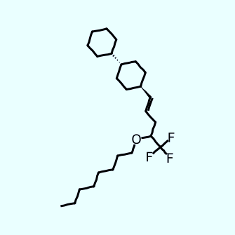 CCCCCCCCOC(CC=C[C@H]1CC[C@H](C2CCCCC2)CC1)C(F)(F)F